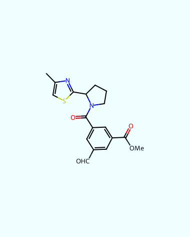 COC(=O)c1cc(C=O)cc(C(=O)N2CCCC2c2nc(C)cs2)c1